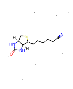 N#CCCCCC[C@@H]1SC[C@@H]2NC(=O)N[C@@H]21